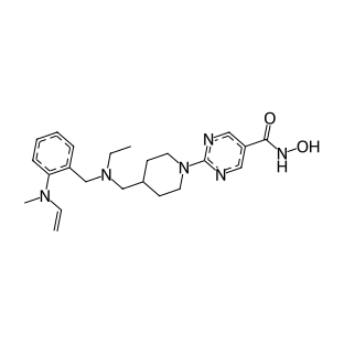 C=CN(C)c1ccccc1CN(CC)CC1CCN(c2ncc(C(=O)NO)cn2)CC1